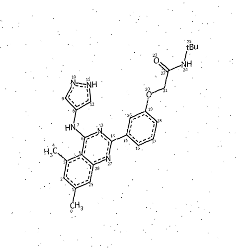 Cc1cc(C)c2c(Nc3cn[nH]c3)nc(-c3cccc(OCC(=O)NC(C)(C)C)c3)nc2c1